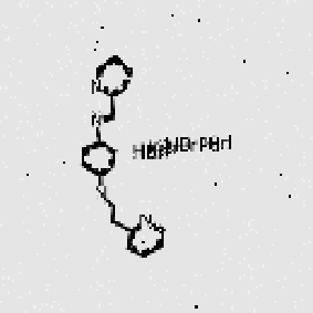 Br.Br.Br.Br.C(Cc1ccccn1)=Nc1ccc(N=Cc2ccccn2)cc1.[Pd].[Pd]